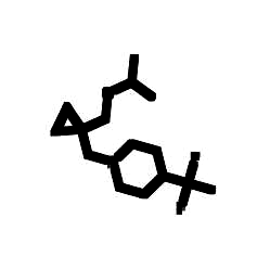 CC(C)OCC1(CN2CCC(C(C)(F)F)CC2)CC1